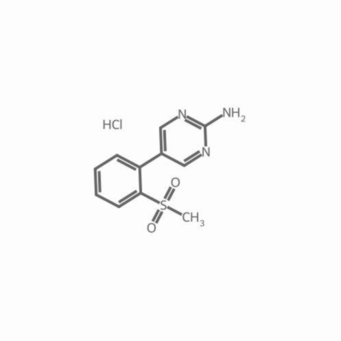 CS(=O)(=O)c1ccccc1-c1cnc(N)nc1.Cl